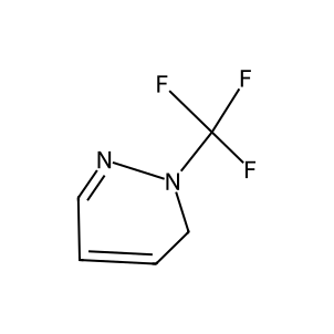 FC(F)(F)N1CC=CC=N1